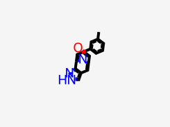 Cc1cccc(C(=O)N2C3=Cc4c[nH]nc4C2=CC=C3)c1